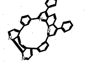 C1=CC2C(c3ccccc3)=CC3=NC2c2nc(cc(-c4ccccc4)c21)-c1cccc(c1)-c1ccnc2c1ccc1c(ccnc12)-c1cccc3c1